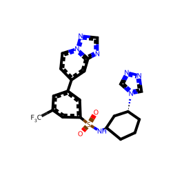 O=S(=O)(N[C@H]1CCC[C@@H](n2cnnc2)C1)c1cc(-c2ccn3ncnc3c2)cc(C(F)(F)F)c1